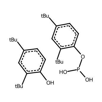 CC(C)(C)c1ccc(O)c(C(C)(C)C)c1.CC(C)(C)c1ccc(OP(O)O)c(C(C)(C)C)c1